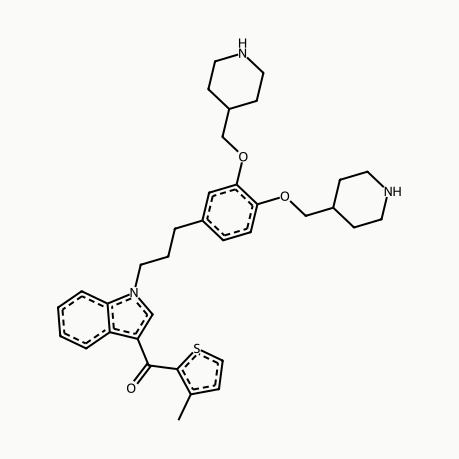 Cc1ccsc1C(=O)c1cn(CCCc2ccc(OCC3CCNCC3)c(OCC3CCNCC3)c2)c2ccccc12